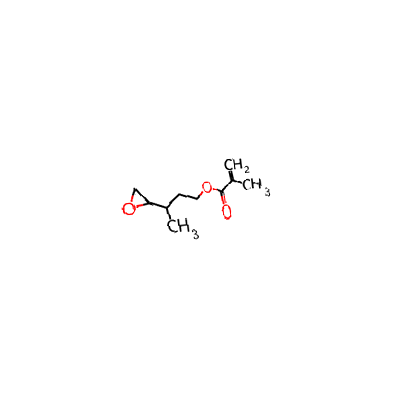 C=C(C)C(=O)OCCC(C)C1CO1